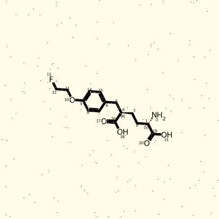 N[C@@H](CC[C@H](Cc1ccc(OCCF)cc1)C(=O)O)C(=O)O